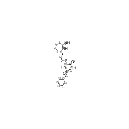 N=C1CCCC[C@H](C/C=C\C[C@H](NC(=O)OCc2ccccc2)C(=O)O)N1